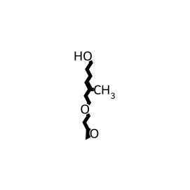 C/C(=C\CCCO)CCOCCC1CO1